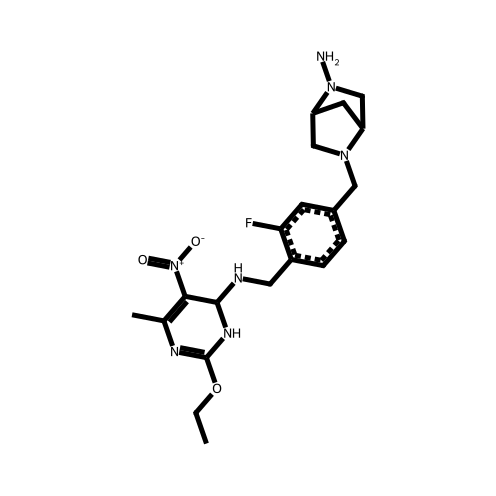 CCOC1=NC(C)=C([N+](=O)[O-])C(NCc2ccc(CN3CC4CC3CN4N)cc2F)N1